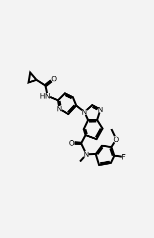 COc1cc(N(C)C(=O)c2ccc3ncn(-c4ccc(NC(=O)C5CC5)nc4)c3c2)ccc1F